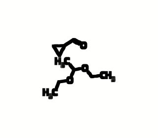 CCOC(C)OCC.O=CC1CC1